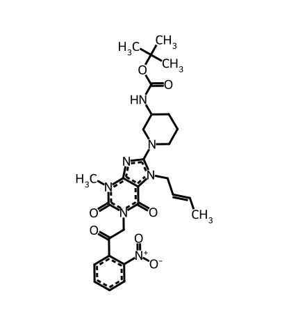 CC=CCn1c(N2CCCC(NC(=O)OC(C)(C)C)C2)nc2c1c(=O)n(CC(=O)c1ccccc1[N+](=O)[O-])c(=O)n2C